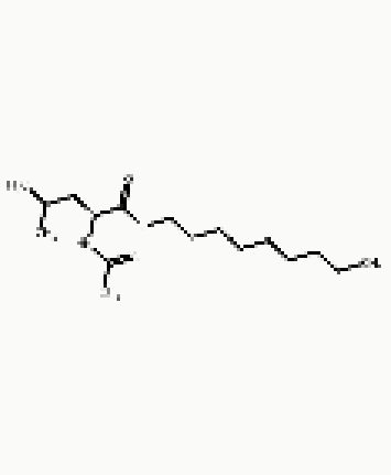 CCCCCCCCCOC(=O)[C@H](CC(C)C)NC(C)=O